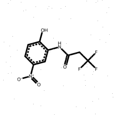 O=C(CC(F)(F)F)Nc1cc([N+](=O)[O-])ccc1O